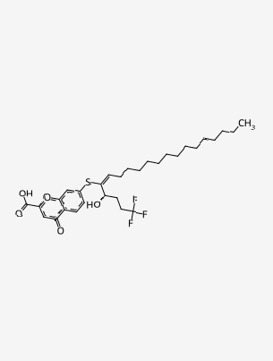 CCCCCCCCCCCCCCC=C(Sc1ccc2c(=O)cc(C(=O)O)oc2c1)[C@H](O)CCC(F)(F)F